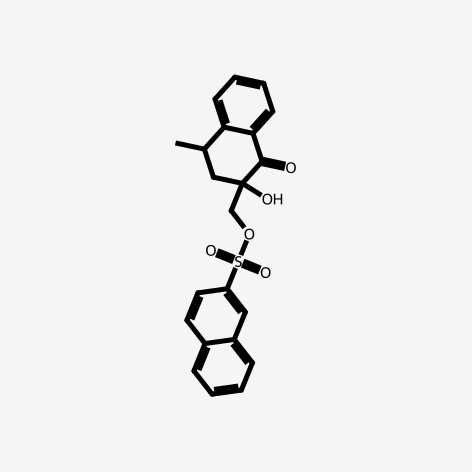 CC1CC(O)(COS(=O)(=O)c2ccc3ccccc3c2)C(=O)c2ccccc21